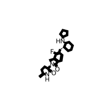 C=C1CCC(N2Cc3c(ccc(C[C@H]4CCCC[C@@H]4NC4CCCC4)c3F)C2=O)C(=O)N1